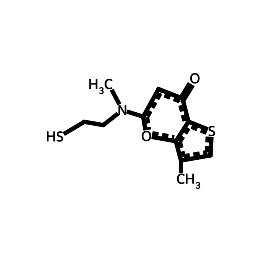 Cc1csc2c(=O)cc(N(C)CCS)oc12